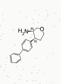 N[C@H]1COCC[C@H]1c1ccc(-c2ccccc2)cc1